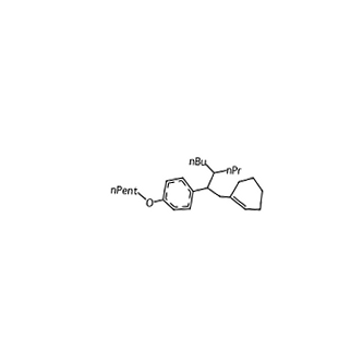 CCCCCOc1ccc(C(CC2=CCCCC2)C(CCC)CCCC)cc1